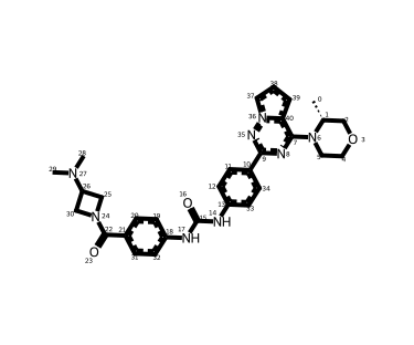 C[C@@H]1COCCN1c1nc(-c2ccc(NC(=O)Nc3ccc(C(=O)N4CC(N(C)C)C4)cc3)cc2)nn2cccc12